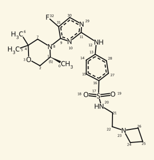 C[C@H]1COC(C)(C)CN1c1nc(Nc2ccc(S(=O)(=O)NCCN3CCC3)cc2)ncc1F